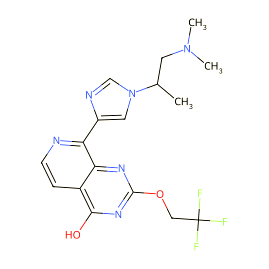 CC(CN(C)C)n1cnc(-c2nccc3c(O)nc(OCC(F)(F)F)nc23)c1